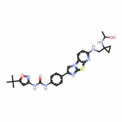 CC(O)NC1(CNc2ccc3c(n2)sc2nc(-c4ccc(NC(=O)Nc5cc(C(C)(C)C)on5)cc4)cn23)CC1